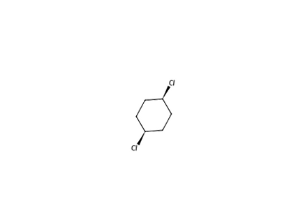 Cl[C@H]1CC[C@@H](Cl)CC1